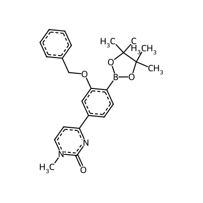 Cn1ccc(-c2ccc(B3OC(C)(C)C(C)(C)O3)c(OCc3ccccc3)c2)nc1=O